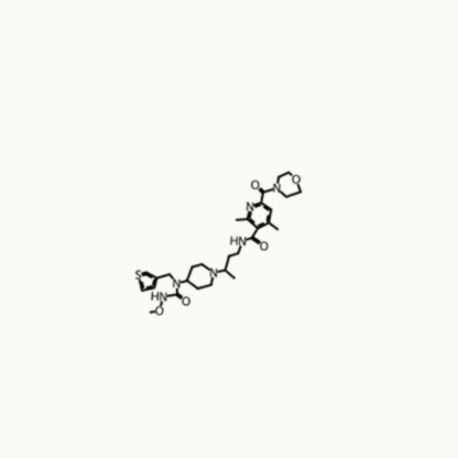 CONC(=O)N(Cc1ccsc1)C1CCN(C(C)CCNC(=O)c2c(C)cc(C(=O)N3CCOCC3)nc2C)CC1